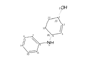 O[C@@H]1C=C[C@H](Nc2ccccc2)CC1